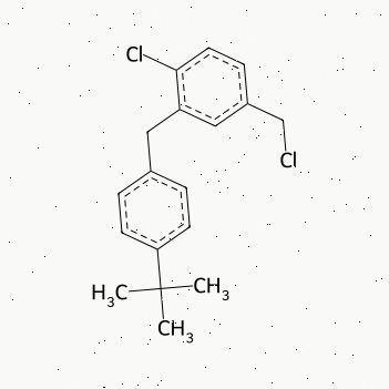 CC(C)(C)c1ccc(Cc2cc(CCl)ccc2Cl)cc1